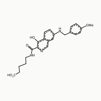 COc1ccc(CNc2ccc3c(O)c(C(=O)NCCCCC(=O)O)ncc3c2)cc1